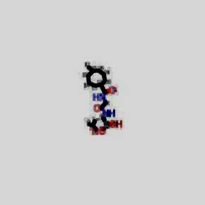 CC(C)C[C@H](NC(=O)CNC(=O)C1CCCC(C)CCC1)B(O)O